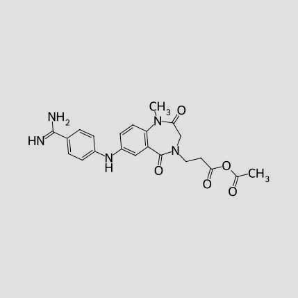 CC(=O)OC(=O)CCN1CC(=O)N(C)c2ccc(Nc3ccc(C(=N)N)cc3)cc2C1=O